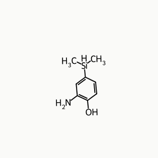 C[SiH](C)c1ccc(O)c(N)c1